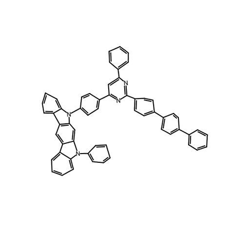 c1ccc(-c2ccc(-c3ccc(-c4nc(-c5ccccc5)cc(-c5ccc(-n6c7ccccc7c7cc8c9ccccc9n(-c9ccccc9)c8cc76)cc5)n4)cc3)cc2)cc1